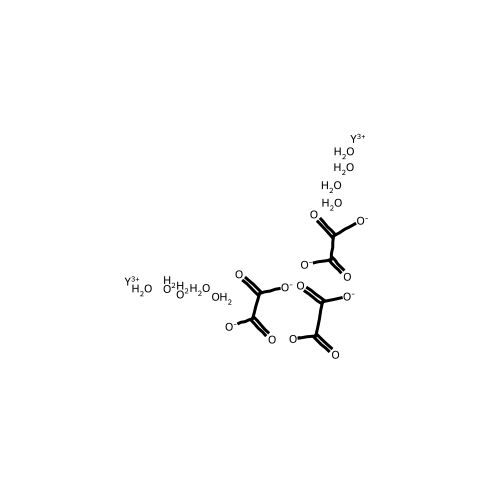 O.O.O.O.O.O.O.O.O.O=C([O-])C(=O)[O-].O=C([O-])C(=O)[O-].O=C([O-])C(=O)[O-].[Y+3].[Y+3]